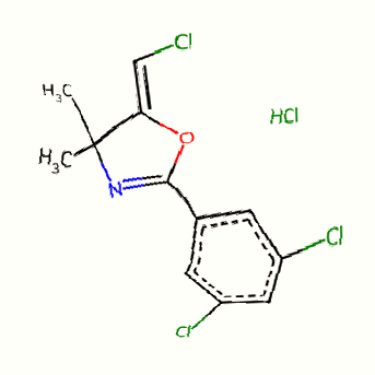 CC1(C)N=C(c2cc(Cl)cc(Cl)c2)OC1=CCl.Cl